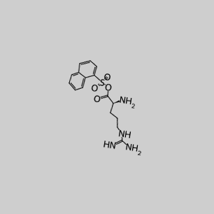 N=C(N)NCCC[C@H](N)C(=O)OS(=O)(=O)c1cccc2ccccc12